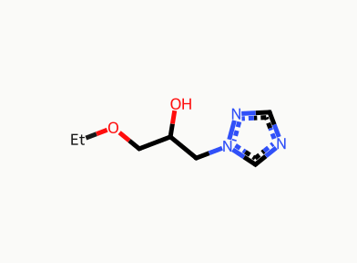 CCOCC(O)Cn1cncn1